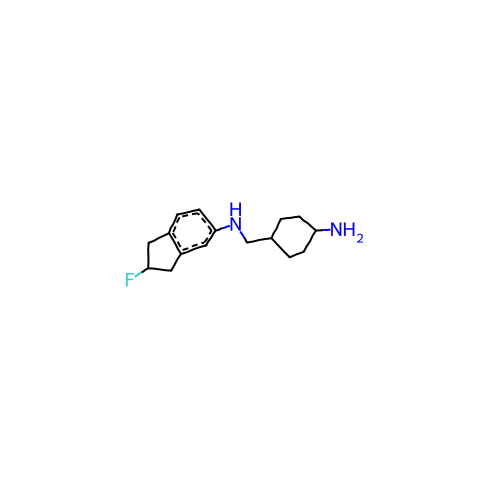 NC1CCC(CNc2ccc3c(c2)CC(F)C3)CC1